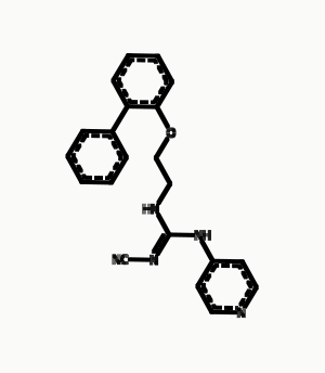 N#C/N=C(\NCCOc1ccccc1-c1ccccc1)Nc1ccncc1